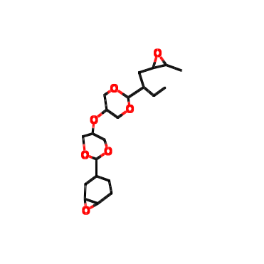 CCC(CC1OC1C)C1OCC(OC2COC(C3CCC4OC4C3)OC2)CO1